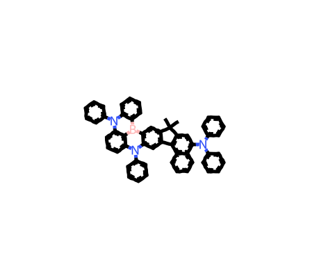 CC1(C)c2cc3c(cc2-c2c1cc(N(c1ccccc1)c1ccccc1)c1ccccc21)N(c1ccccc1)c1cccc2c1B3c1ccccc1N2c1ccccc1